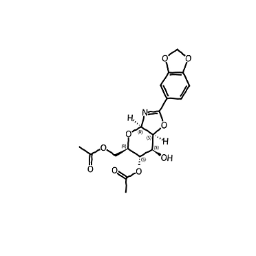 CC(=O)OC[C@H]1O[C@H]2N=C(c3ccc4c(c3)OCO4)O[C@H]2[C@@H](O)[C@@H]1OC(C)=O